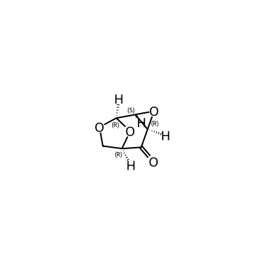 O=C1[C@H]2CO[C@H](O2)[C@H]2O[C@@H]12